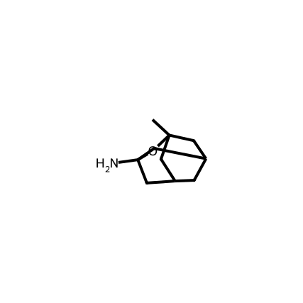 CC12CC3CC(C1)CC(N)(C3)O2